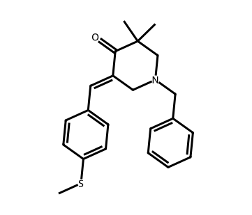 CSc1ccc(C=C2CN(Cc3ccccc3)CC(C)(C)C2=O)cc1